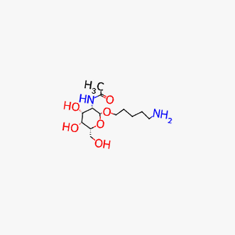 CC(=O)N[C@@H]1[C@H](OCCCCCN)O[C@H](CO)[C@H](O)[C@@H]1O